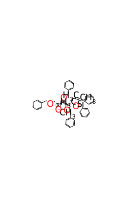 CO[C@H](COCc1ccccc1)[C@@H](OCc1ccccc1)[C@H](CO[Si](c1ccccc1)(c1ccccc1)C(C)(C)C)OCc1ccccc1